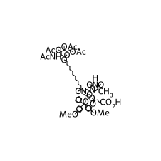 COc1ccc(C(OC[C@]2(COC(=O)CCC(=O)O)CN(C(=O)CCCCCCCCCCCO[C@@H]3O[C@H](COC(C)=O)[C@H](OC(C)=O)[C@H](OC(C)=O)[C@H]3NC(C)=O)C[C@H](n3cc(C)c(=O)[nH]c3=O)O2)(c2ccccc2)c2ccc(OC)cc2)cc1